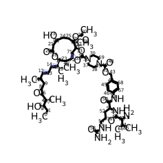 CC[C@H](O)[C@@H](C)C1OC1CC(C)/C=C/C=C(\C)[C@H]1OC(=O)C[C@H](O)CC[C@@](C)(OC(C)=O)[C@@H](OC(=O)N2CCN(C(=O)OCc3ccc(NC(=O)C(CCCNC(N)=O)NC(=O)[C@@H](N)C(C)C)cc3)CC2)/C=C/[C@@H]1C